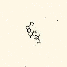 C=C(CCC1=C(N)c2cc3c(cc2CC1=C)CC=C3C1CCCC1)NCC(C)CC